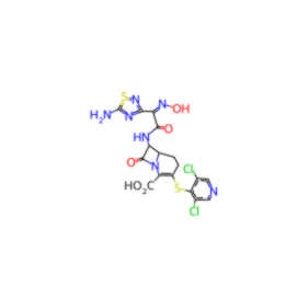 Nc1nc(/C(=N/O)C(=O)NC2C(=O)N3C(C(=O)O)=C(Sc4c(Cl)cncc4Cl)CCC23)ns1